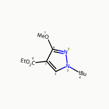 CCOC(=O)c1cn(C(C)(C)C)nc1OC